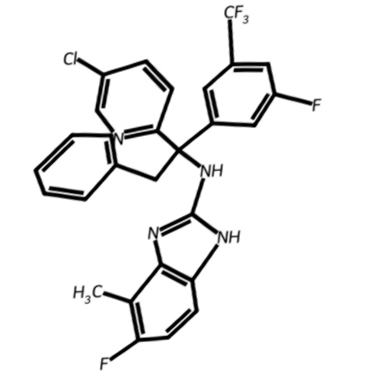 Cc1c(F)ccc2[nH]c(NC(Cc3ccccc3)(c3cc(F)cc(C(F)(F)F)c3)c3ccc(Cl)cn3)nc12